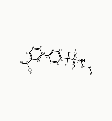 CCCNS(=O)(=O)C(C)(C)c1ccc(-c2cccc(C(C)O)c2)cc1